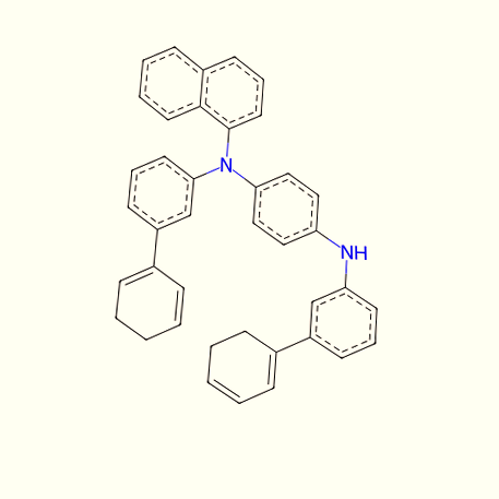 C1=CCCC(c2cccc(Nc3ccc(N(c4cccc(C5=CCCC=C5)c4)c4cccc5ccccc45)cc3)c2)=C1